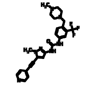 CN1CCN(Cc2ccc(NC(=O)Nc3cc(C#Cc4ccncc4)n(C)n3)cc2C(F)(F)F)CC1